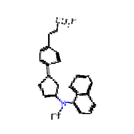 CCN(c1cccc2ccccc12)C1CCC(c2ccc(CCC(=O)O)cc2)C1